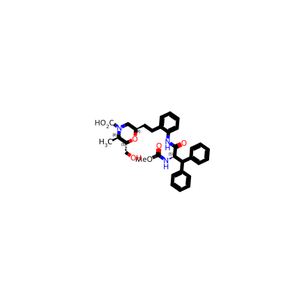 COC(=O)N[C@H](C(=O)Nc1ccccc1CC[C@@H]1CN(C(=O)O)[C@H](C)[C@@H](CO)O1)C(c1ccccc1)c1ccccc1